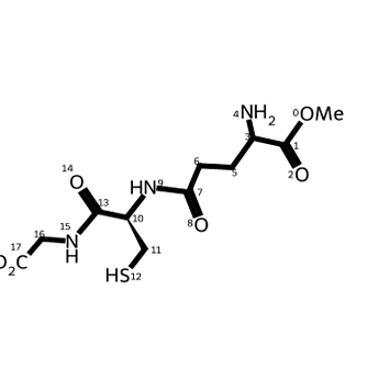 COC(=O)C(N)CCC(=O)N[C@@H](CS)C(=O)NCC(=O)O